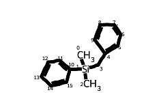 C[Si](C)(Cc1cc[c]cc1)c1ccccc1